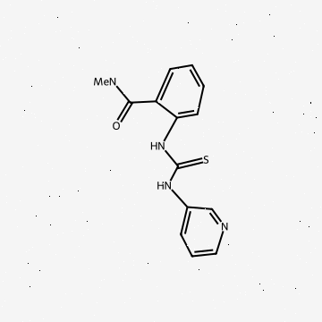 CNC(=O)c1ccccc1NC(=S)Nc1cccnc1